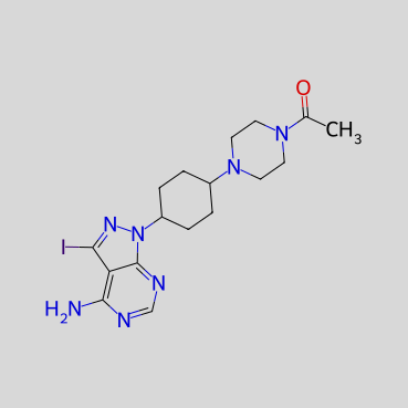 CC(=O)N1CCN(C2CCC(n3nc(I)c4c(N)ncnc43)CC2)CC1